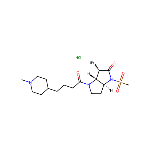 CC(C)[C@H]1C(=O)N(S(C)(=O)=O)[C@H]2CCN(C(=O)CCCC3CCN(C)CC3)[C@H]12.Cl